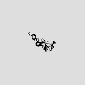 Cn1c(=O)c2c(Oc3ccc(F)cc3)cccc2n2cnc(-c3nc(C4CC4)no3)c12